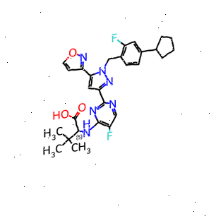 CC(C)(C)[C@H](Nc1nc(-c2cc(-c3ccon3)n(Cc3ccc(C4CCCC4)cc3F)n2)ncc1F)C(=O)O